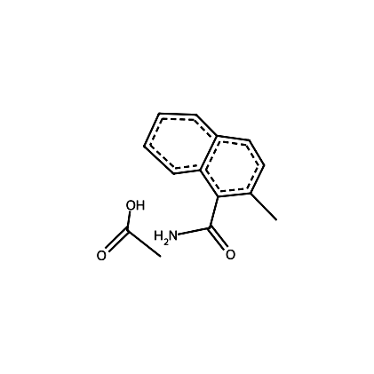 CC(=O)O.Cc1ccc2ccccc2c1C(N)=O